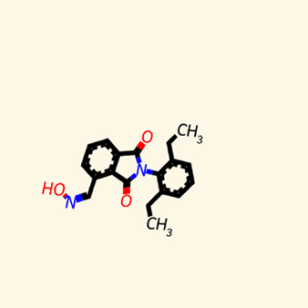 CCc1cccc(CC)c1N1C(=O)c2cccc(/C=N\O)c2C1=O